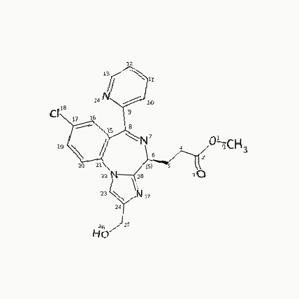 COC(=O)CC[C@@H]1N=C(c2ccccn2)c2cc(Cl)ccc2-n2cc(CO)nc21